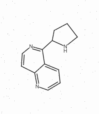 c1cnc2ccnc(C3CCCN3)c2c1